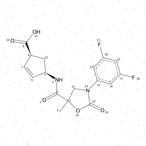 CC1(C(=O)N[C@H]2C=C[C@@H](C(=O)O)C2)CN(c2cc(F)cc(F)c2)C(=O)O1